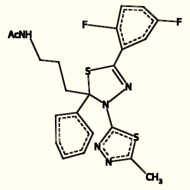 CC(=O)NCCCC1(c2ccccc2)SC(c2cc(F)ccc2F)=NN1c1nnc(C)s1